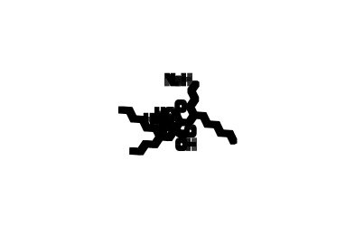 CCCCCCC(CCCC)CC(C(=O)O)C(CC(CCCC)CCCCCC)(C(=O)O)S(=O)(=O)O.[NaH]